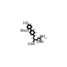 COc1cc(O)ccc1-c1ccc(CCC(COC(C)=O)C(CC(N)=O)OC(C)=O)cc1